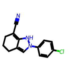 N#CC1=C2NN(c3ccc(Cl)cc3)C=C2CCC1